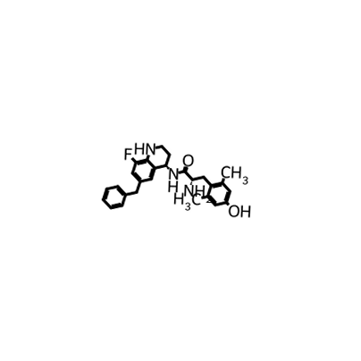 Cc1cc(O)cc(C)c1C[C@H](N)C(=O)N[C@@H]1CCNc2c(F)cc(Cc3ccccc3)cc21